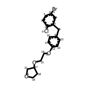 Clc1ccc(Br)cc1Cc1ccc(OCCOC2CCOC2)cc1